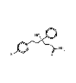 NC(=O)OC[C@@](O)(CCc1ccc(Br)cc1)c1ccccc1